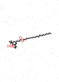 CCCCCCCCCCCCCCCCCCOC(=O)CCC1C=C(C(C)(C)C)C(O)C(C(C)(C)C)C1